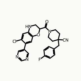 N#CC1(Cc2ccc(F)cc2)CCN(C(=O)C2CNc3cc(Cl)c(-c4cncnc4)cc3O2)CC1